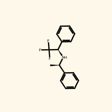 C[C@@H](N[C@H](c1ccccc1)C(F)(F)F)c1ccccc1